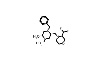 C[C@@H]1CN(Cc2ccccc2)[C@@H](CN2CCOCC2C(F)F)CN1C(=O)O